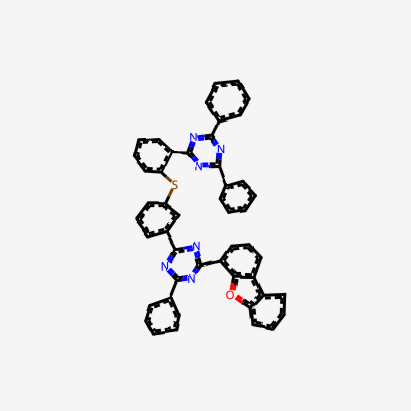 c1ccc(-c2nc(-c3ccccc3)nc(-c3ccccc3Sc3cccc(-c4nc(-c5ccccc5)nc(-c5cccc6c5oc5ccccc56)n4)c3)n2)cc1